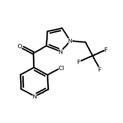 O=C(c1ccn(CC(F)(F)F)n1)c1ccncc1Cl